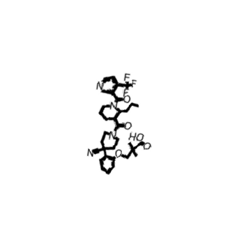 CCCC1C(C(=O)N2CCC(C#N)(c3ccccc3OCC(C)(C)C(=O)O)CC2)CCCN1C(=O)c1cnccc1C(F)(F)F